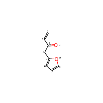 C=CC(=O)Cc1ccco1